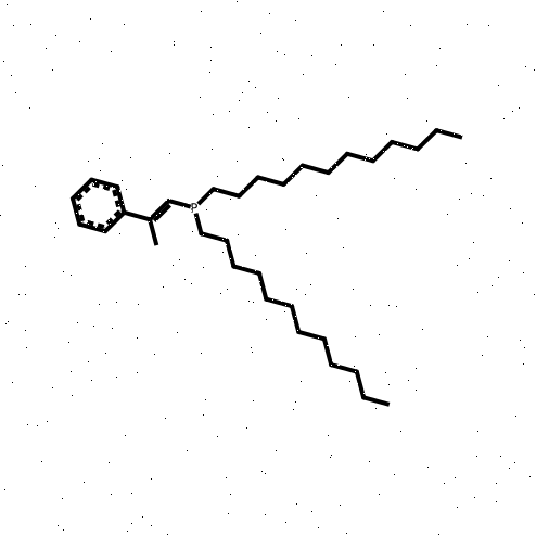 CCCCCCCCCCCCP(C=C(C)c1ccccc1)CCCCCCCCCCCC